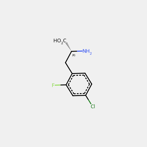 N[C@H](Cc1ccc(Cl)cc1F)C(=O)O